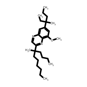 CCCCCCC(C)(CCCC)c1cnc2cc(C(C)(CC)CCC)cc(OC)c2n1